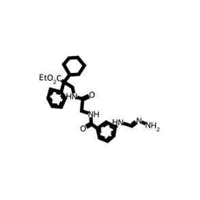 CCOC(=O)C(CNC(=O)CNC(=O)c1cccc(NC=NN)c1)(c1ccccc1)C1CCCCC1